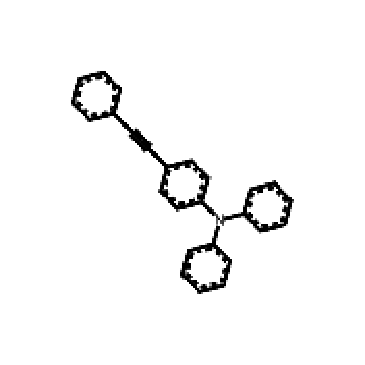 C(#Cc1ccc(N(c2ccccc2)c2ccccc2)cc1)c1ccccc1